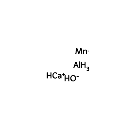 [AlH3].[CaH+].[Mn].[OH-]